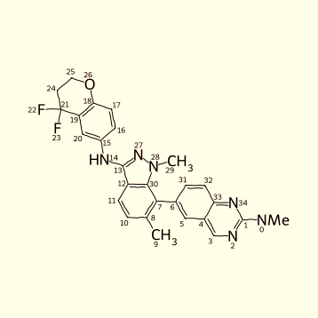 CNc1ncc2cc(-c3c(C)ccc4c(Nc5ccc6c(c5)C(F)(F)CCO6)nn(C)c34)ccc2n1